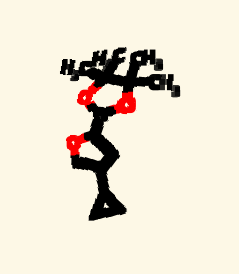 CC1(C)OB(c2cc(C3CC3)co2)OC1(C)C